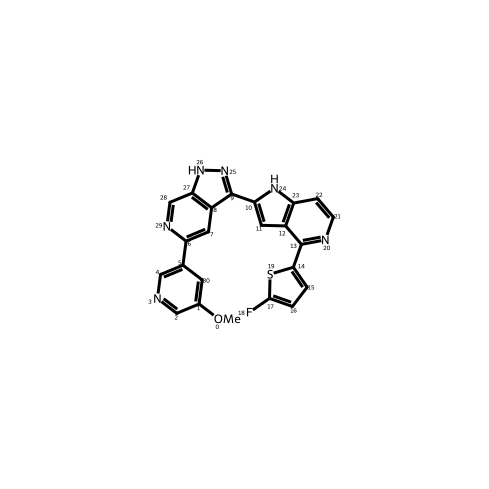 COc1cncc(-c2cc3c(-c4cc5c(-c6ccc(F)s6)nccc5[nH]4)n[nH]c3cn2)c1